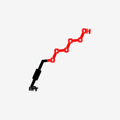 CCCC#CCOOOOOO